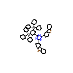 c1ccc([Si](c2ccccc2)(c2ccccc2)c2cc(-c3nc(-c4ccc5sc6ccccc6c5c4)nc(-c4ccc5sc6ccccc6c5c4)n3)cc([Si](c3ccccc3)(c3ccccc3)c3ccccc3)c2)cc1